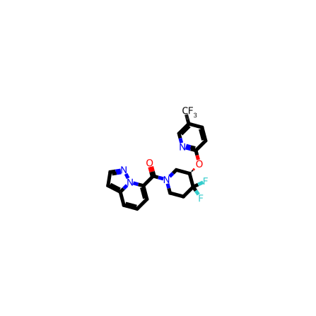 O=C(c1cccc2ccnn12)N1CCC(F)(F)[C@@H](Oc2ccc(C(F)(F)F)cn2)C1